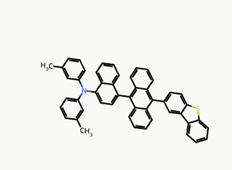 Cc1cccc(N(c2cccc(C)c2)c2ccc(-c3c4ccccc4c(-c4ccc5sc6ccccc6c5c4)c4ccccc34)c3ccccc23)c1